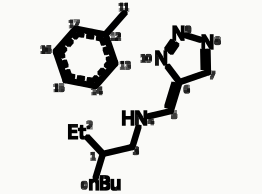 CCCCC(CC)CNC=C1C=NN=N1.Cc1ccccc1